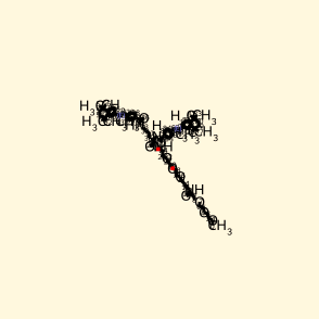 COCCOCCOCCC(=O)NCCCOCCOCCOCCCNC(=O)[C@@H](CCCCNC(=O)c1ccc(/C=C(\C)c2ccc3c(c2)C(C)(C)CCC3(C)C)cc1)NC(=O)c1ccc(/C=C(\C)c2ccc3c(c2)C(C)(C)CCC3(C)C)cc1